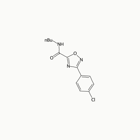 CCCCNC(=O)c1nc(-c2ccc(Cl)cc2)no1